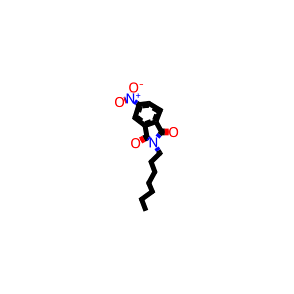 CCCCCCCN1C(=O)c2ccc([N+](=O)[O-])cc2C1=O